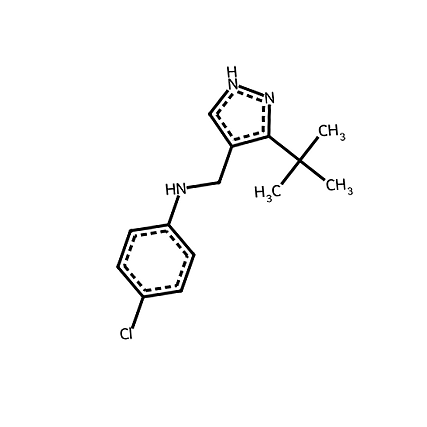 CC(C)(C)c1n[nH]cc1CNc1ccc(Cl)cc1